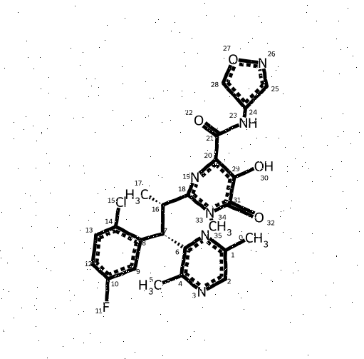 Cc1cnc(C)c([C@H](c2cc(F)ccc2Cl)[C@H](C)c2nc(C(=O)Nc3cnoc3)c(O)c(=O)n2C)n1